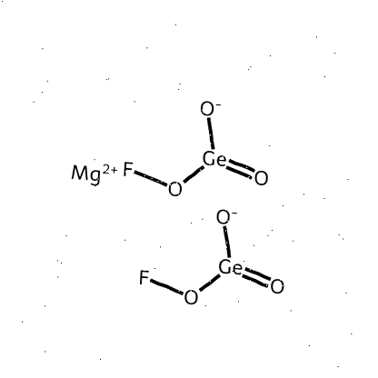 [Mg+2].[O]=[Ge]([O-])[O]F.[O]=[Ge]([O-])[O]F